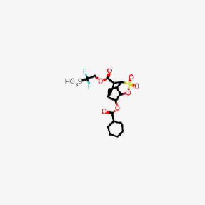 O=C(OC1C2CC3C1OS(=O)(=O)C3C2C(=O)OCC(F)(F)S(=O)(=O)O)C1CCCCC1